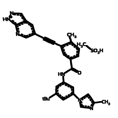 CS(=O)(=O)O.Cc1cn(-c2cc(NC(=O)c3ccc(C)c(C#Cc4cnc5[nH]ncc5c4)c3)cc(C(C)(C)C)c2)cn1